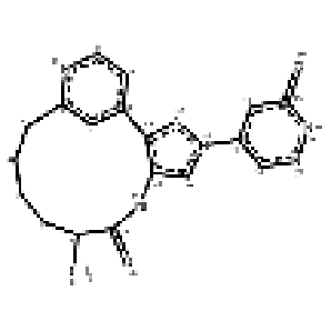 CC1CCCCc2cc(ccn2)-c2nn(-c3cn[nH]c(=O)c3)cc2NC1=O